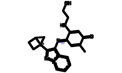 CC1=C/C(=N\c2c([N+]34CCC3C4)nn3ccccc23)C(NCCO)=CC1=O